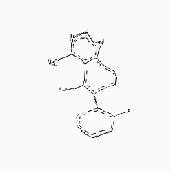 COc1n[c]nc2ccc(-c3ccccc3F)c(Cl)c12